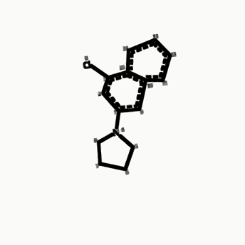 Clc1cc(N2CCCC2)cc2ccccc12